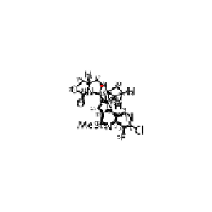 CSc1nc2c(F)c(Cl)ncc2c2c1cc(C1CC[C@H]3COC(=O)N13)n2[C@H]1[C@H]2CN[C@@H]1C2